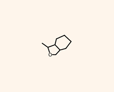 CC1OCC2CCCCC21